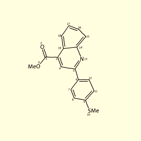 COC(=O)c1cc(-c2ccc(SC)cc2)nc2ccccc12